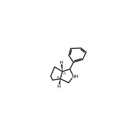 c1ccc(C2NC[C@@H]3CCC[C@H]23)cc1